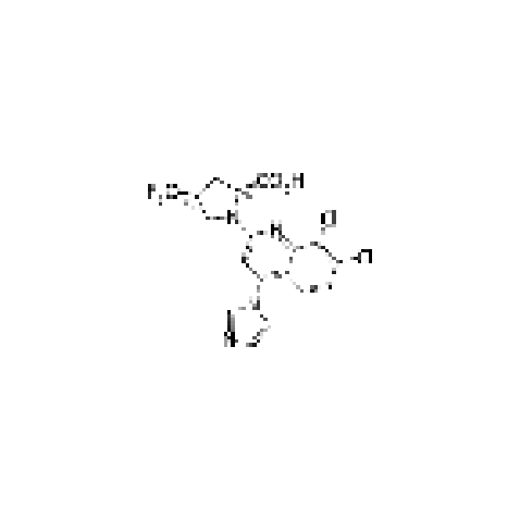 O=C(O)[C@@H]1C[C@H](C(F)(F)F)CN1c1cc(-n2ccnc2)c2ccc(Cl)c(Cl)c2n1